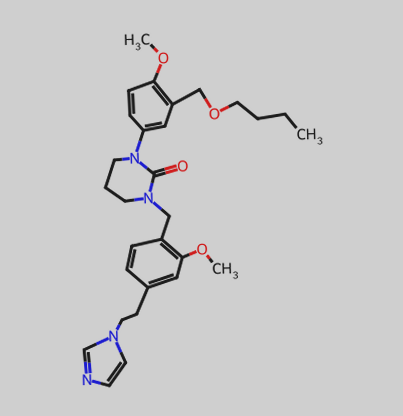 CCCCOCc1cc(N2CCCN(Cc3ccc(CCn4ccnc4)cc3OC)C2=O)ccc1OC